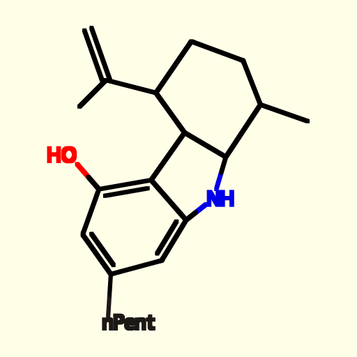 C=C(C)C1CCC(C)C2Nc3cc(CCCCC)cc(O)c3C12